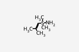 CC(C)=CS(C)(C)N